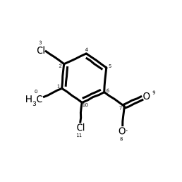 Cc1c(Cl)ccc(C([O])=O)c1Cl